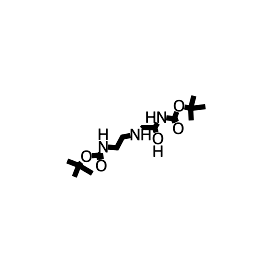 CC(C)(C)OC(=O)NCCNCC(O)NC(=O)OC(C)(C)C